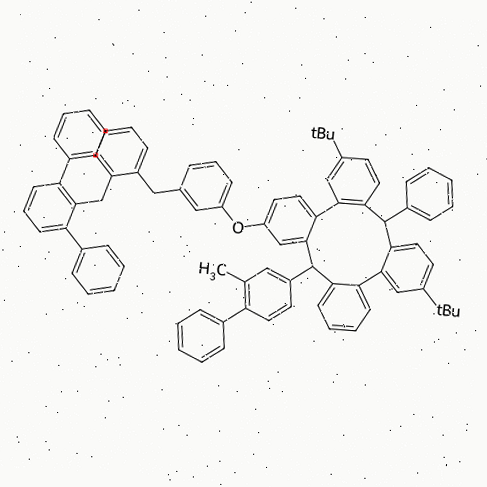 Cc1cc(C2c3ccccc3-c3cc(C(C)(C)C)ccc3C(c3ccccc3)c3ccc(C(C)(C)C)cc3-c3ccc(Oc4cccc(Cc5ccccc5Cc5c(-c6ccccc6)cccc5-c5ccccc5)c4)cc32)ccc1-c1ccccc1